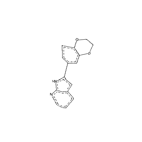 c1cnc2[nH]c(-c3ccc4c(c3)OCCO4)cc2c1